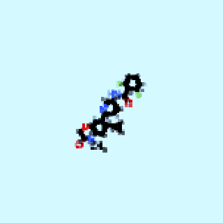 CN1C(=O)COc2cc(-c3ccc(NC(=O)c4c(F)cccc4F)cn3)c(C3CC3)cc21